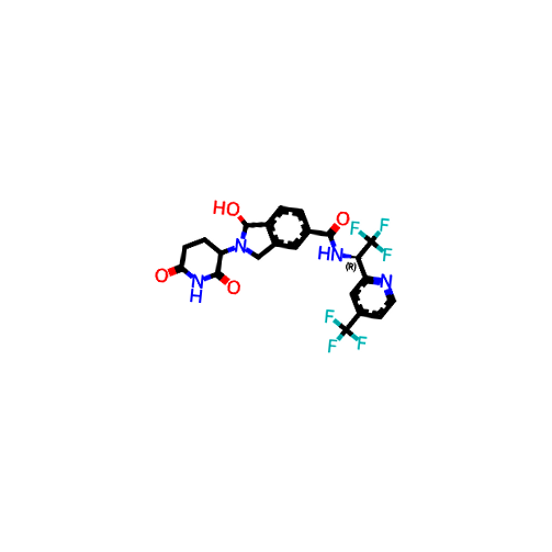 O=C1CCC(N2Cc3cc(C(=O)N[C@H](c4cc(C(F)(F)F)ccn4)C(F)(F)F)ccc3C2O)C(=O)N1